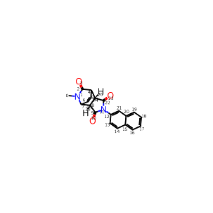 CN1C(=O)C2C=CC1[C@H]1C(=O)N(c3ccc4ccccc4c3)C(=O)[C@@H]21